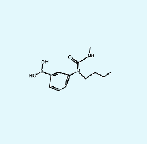 CCCCN(C(=O)NC)c1cccc(B(O)O)c1